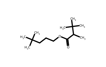 CC(C(=O)OCCCC(C)(C)C)C(C)(C)C